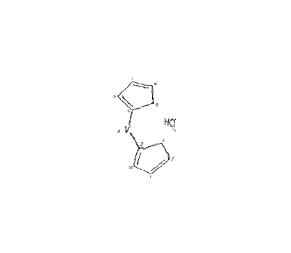 C1=CC[C]([V][C]2=CC=CC2)=C1.Cl